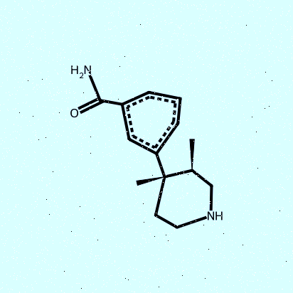 C[C@H]1CNCC[C@]1(C)c1cccc(C(N)=O)c1